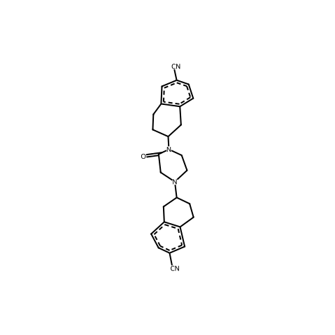 N#Cc1ccc2c(c1)CCC(N1CCN(C3CCc4cc(C#N)ccc4C3)C(=O)C1)C2